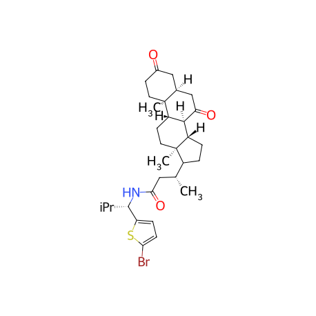 CC(C)[C@H](NC(=O)C[C@@H](C)C1CC[C@H]2[C@@H]3C(=O)C[C@@H]4CC(=O)CC[C@]4(C)[C@H]3CC[C@]12C)c1ccc(Br)s1